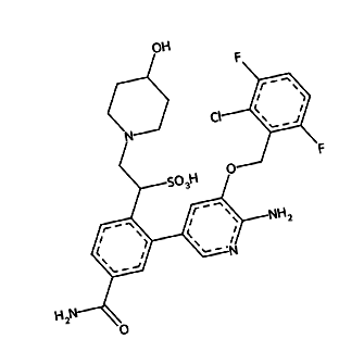 NC(=O)c1ccc(C(CN2CCC(O)CC2)S(=O)(=O)O)c(-c2cnc(N)c(OCc3c(F)ccc(F)c3Cl)c2)c1